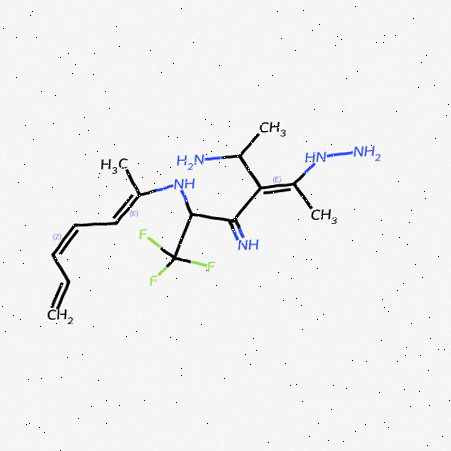 C=C/C=C\C=C(/C)NC(C(=N)/C(=C(\C)NN)C(C)N)C(F)(F)F